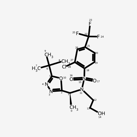 C[C@@H](c1nnc(C(C)(C)C)o1)N(CCO)S(=O)(=O)c1ccc(C(F)(F)F)cc1Cl